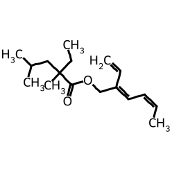 C=C/C(=C\C=C/C)COC(=O)C(C)(CC)CC(C)C